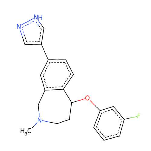 CN1CCC(Oc2cccc(F)c2)c2ccc(-c3cn[nH]c3)cc2C1